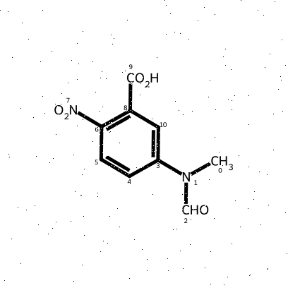 CN(C=O)c1ccc([N+](=O)[O-])c(C(=O)O)c1